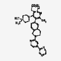 CCOC(=O)Cc1c(Cl)nc(N)c(-c2ccc3c(c2)CCN(c2nccc(-c4cnccn4)n2)C3)c1N1CCC(C)(C)CC1